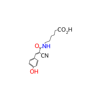 N#C/C(=C\c1ccc(O)cc1)C(=O)NCCCCCC(=O)O